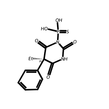 CC[C@@]1(c2ccccc2)C(=O)NC(=O)N(P(O)(O)=S)C1=O